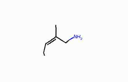 C/C=C(/C)CN